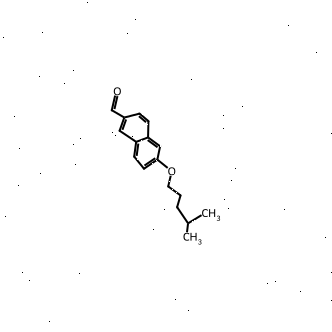 CC(C)CCCOc1ccc2cc(C=O)ccc2c1